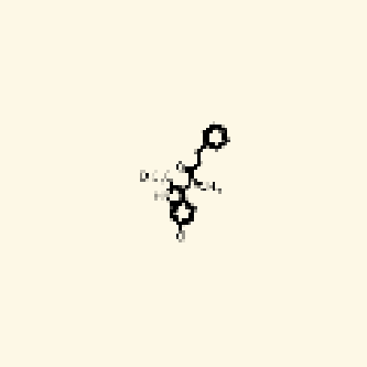 CCOC(=O)c1[nH]c2cc(Cl)ccc2c1N(C)C(=O)CCc1ccccc1